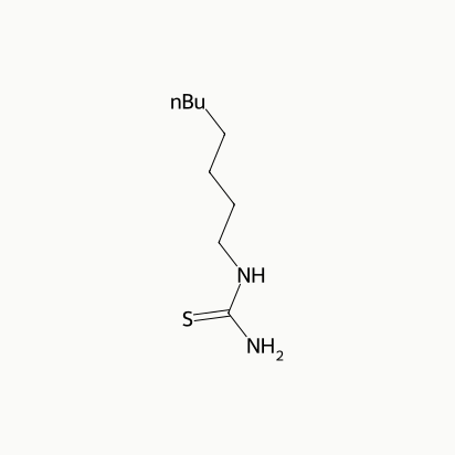 CCCCCCCCNC(N)=S